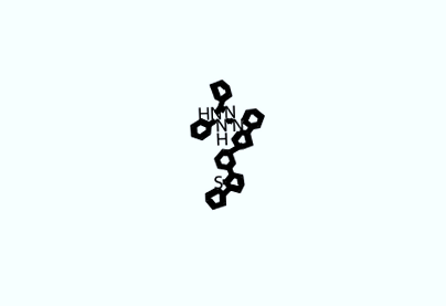 C1=C(c2ccc3c4ccccc4n(C4N=C(c5ccccc5)NC(c5ccccc5)N4)c3c2)C=C(c2cccc3c2sc2ccccc23)CC1